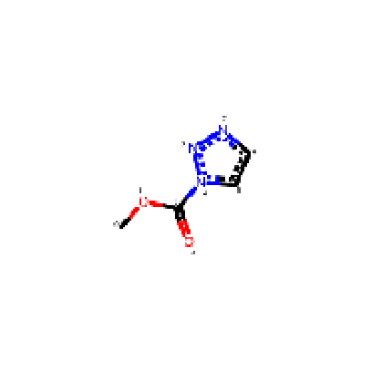 COC(=O)n1c[c]nn1